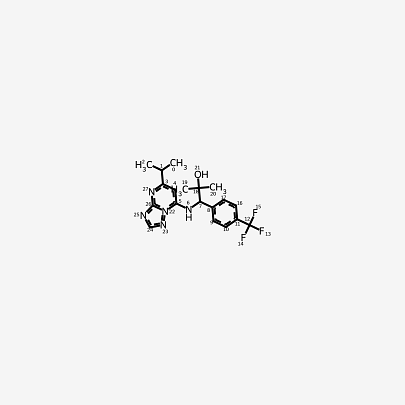 CC(C)c1cc(NC(c2ccc(C(F)(F)F)cc2)C(C)(C)O)n2ncnc2n1